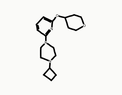 [c]1ccc(OC2CCOCC2)nc1N1CCN(C2CCC2)CC1